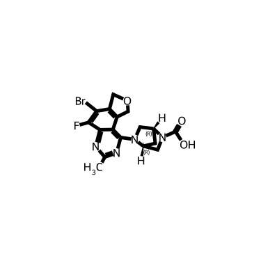 Cc1nc(N2C[C@H]3C[C@@H]2CN3C(=O)O)c2c3c(c(Br)c(F)c2n1)COC3